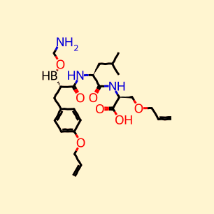 C=CCOC[C@H](NC(=O)[C@H](CC(C)C)NC(=O)[C@@H](BOCN)Cc1ccc(OCC=C)cc1)C(=O)O